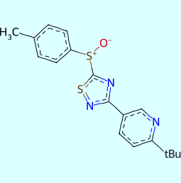 Cc1ccc([S+]([O-])c2nc(-c3ccc(C(C)(C)C)nc3)ns2)cc1